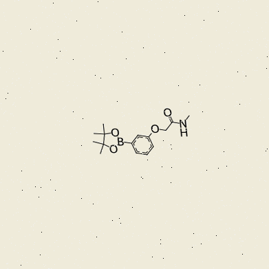 CNC(=O)COc1cccc(B2OC(C)(C)C(C)(C)O2)c1